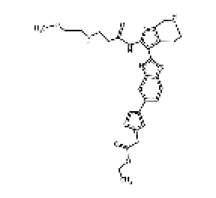 CCOC(=O)Cn1cc(-c2ccc3sc(-c4c(NC(=O)CCNCCOC)sc5c4CCNC5)nc3c2)cn1